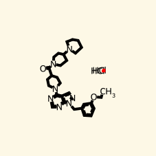 CCOc1cccc(Cn2ncc3c(N4CCC(C(=O)N5CCC(N6CCCCC6)CC5)CC4)ncnc32)c1.Cl.Cl